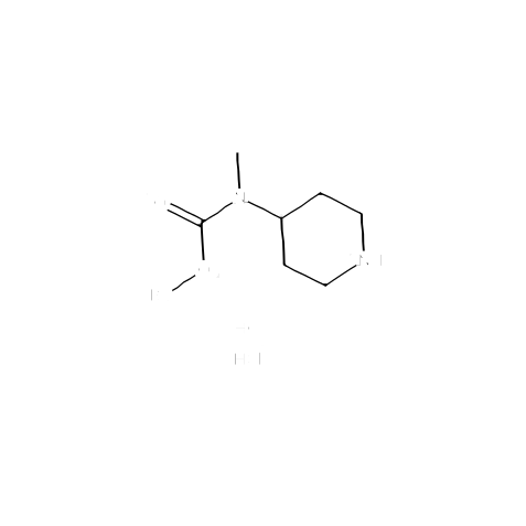 CN(C(=O)OC(C)(C)C)C1CCNCC1.Cl.Cl